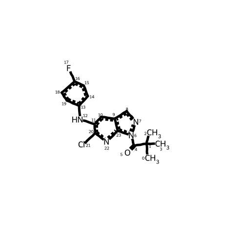 CC(C)(C)C(=O)n1ncc2cc(Nc3ccc(F)cc3)c(Cl)nc21